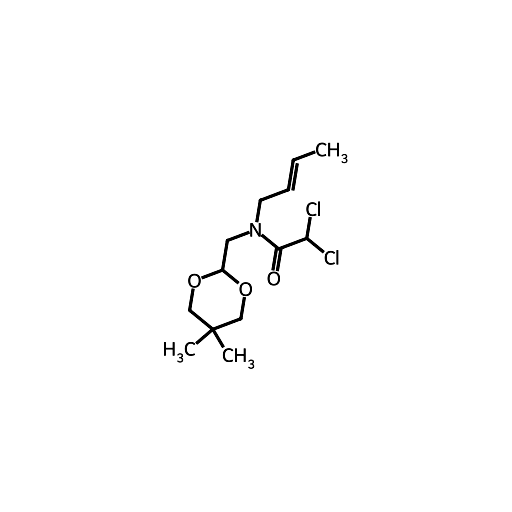 CC=CCN(CC1OCC(C)(C)CO1)C(=O)C(Cl)Cl